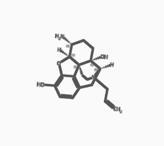 C=CCN1CC[C@]23c4c5ccc(O)c4O[C@H]2[C@H](N)CC[C@@]3(O)[C@H]1C5